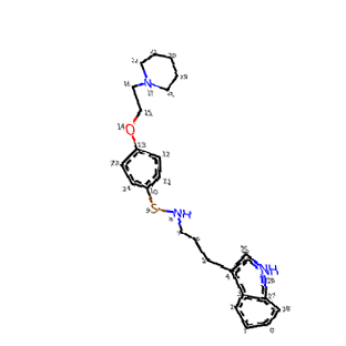 c1ccc2c(CCCNSc3ccc(OCCN4CCCCC4)cc3)c[nH]c2c1